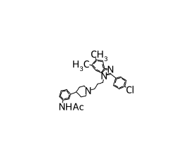 CC(=O)Nc1cccc(C2CCN(CCCn3c(-c4ccc(Cl)cc4)nc4cc(C)c(C)cc43)CC2)c1